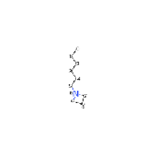 CCCCCCN1C[CH]C1